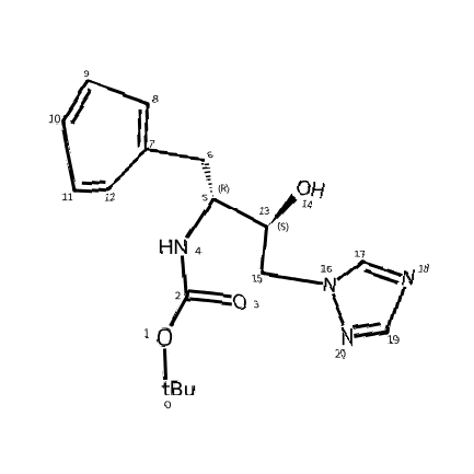 CC(C)(C)OC(=O)N[C@H](Cc1ccccc1)[C@@H](O)Cn1cncn1